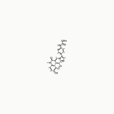 CCOc1cc(N(C)C(=O)c2ccc3ncc(-c4ccc(NC(=O)OC)nc4)n3c2)ccc1C#N